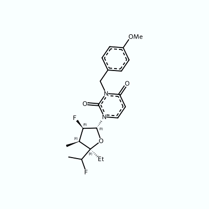 CC[C@@]1(C(C)F)O[C@@H](n2ccc(=O)n(Cc3ccc(OC)cc3)c2=O)[C@H](F)[C@@H]1C